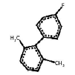 Cc1c[c]cc(C)c1-c1ccc(F)cc1